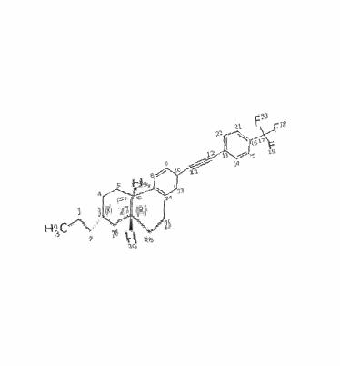 CCC[C@@H]1CC[C@@H]2c3ccc(C#Cc4ccc(C(F)(F)F)cc4)cc3CC[C@@H]2C1